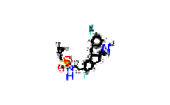 CN1C2C1C21Cc2cc(F)c(CCNS(=O)(=O)CC3CC3)cc2C1Cc1cccc(F)c1